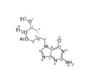 CCOC(C[C@@H](COC(C)=O)Cn1cnc2nc(N)nc(Cl)c21)OCC